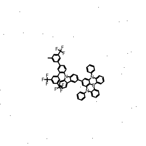 Cc1cc(-c2ccc(-n3c4ccccc4c4cc(-c5cc6c7c(c5)N(c5ccccc5)c5ccccc5B7c5ccccc5N6c5ccccc5)ccc43)c(-c3cc(C(F)(F)F)cc(C(F)(F)F)c3)c2)cc(C(F)(F)F)c1